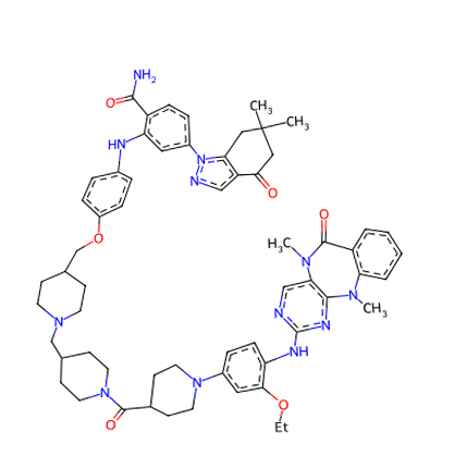 CCOc1cc(N2CCC(C(=O)N3CCC(CN4CCC(COc5ccc(Nc6cc(-n7ncc8c7CC(C)(C)CC8=O)ccc6C(N)=O)cc5)CC4)CC3)CC2)ccc1Nc1ncc2c(n1)N(C)c1ccccc1C(=O)N2C